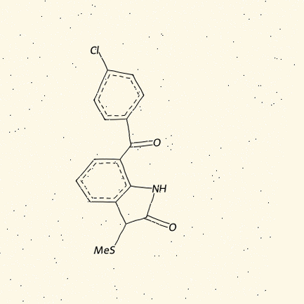 CSC1C(=O)Nc2c(C(=O)c3ccc(Cl)cc3)cccc21